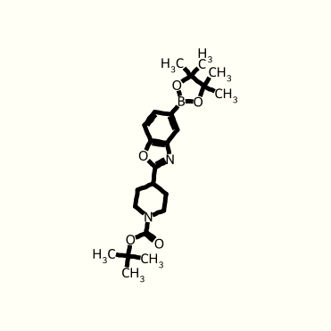 CC(C)(C)OC(=O)N1CCC(c2nc3cc(B4OC(C)(C)C(C)(C)O4)ccc3o2)CC1